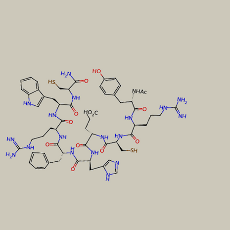 CC(=O)N[C@@H](Cc1ccc(O)cc1)C(=O)N[C@@H](CCCNC(=N)N)C(=O)N[C@@H](CS)C(=O)N[C@@H](CCC(=O)O)C(=O)N[C@@H](Cc1cnc[nH]1)C(=O)N[C@H](Cc1ccccc1)C(=O)N[C@@H](CCCNC(=N)N)C(=O)N[C@@H](Cc1c[nH]c2ccccc12)C(=O)N[C@@H](CS)C(N)=O